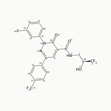 O=C(NC[C@H](O)C(F)(F)F)c1cc(-c2ccc(C(F)(F)F)cc2)nn(-c2cccc(F)c2)c1=O